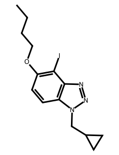 CCCCOc1ccc2c(nnn2CC2CC2)c1I